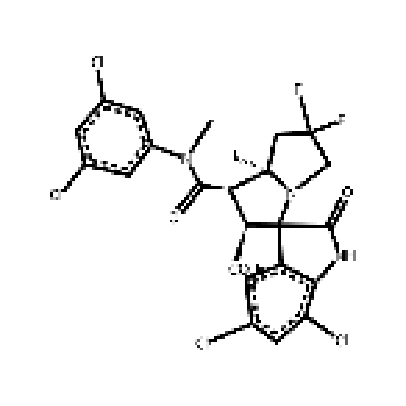 CN(C(=O)[C@H]1[C@H]2CC(F)(F)CN2C2(C(=O)Nc3c(Cl)cc(Cl)cc32)[C@H]1C(=O)O)c1cc(Cl)cc(Cl)c1